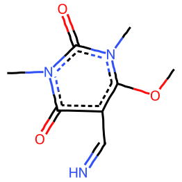 COc1c(C=N)c(=O)n(C)c(=O)n1C